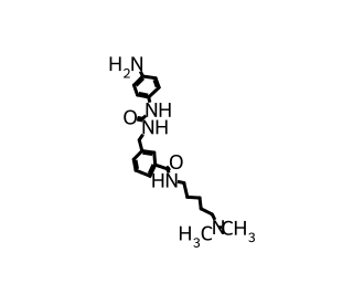 CN(C)CCCCCNC(=O)c1cccc(CNC(=O)Nc2ccc(N)cc2)c1